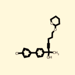 CC(O)(C#CCCCOC1CCCCO1)c1ccc(-c2ccc(Cl)cc2)cc1